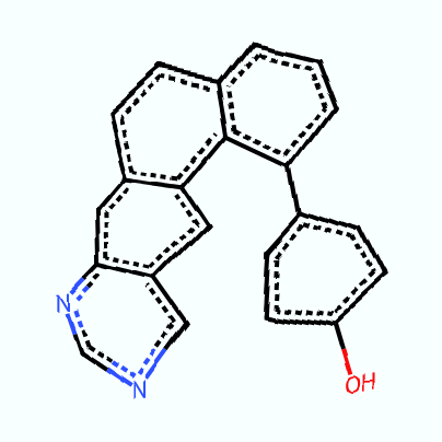 Oc1ccc(-c2cccc3ccc4cc5ncncc5cc4c23)cc1